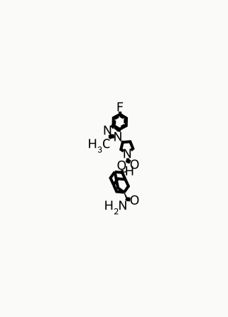 Cc1nc2cc(F)ccc2n1[C@H]1CCN(C(=O)O[C@H]2C3CC4CC2C[C@@](C(N)=O)(C4)C3)C1